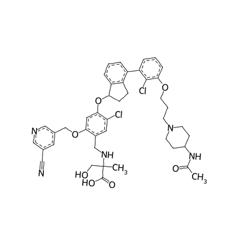 CC(=O)NC1CCN(CCCOc2cccc(-c3cccc4c3CCC4Oc3cc(OCc4cncc(C#N)c4)c(CNC(C)(CO)C(=O)O)cc3Cl)c2Cl)CC1